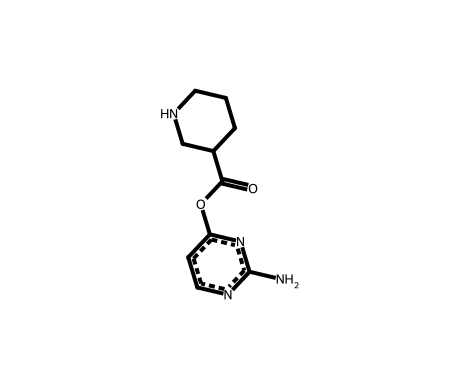 Nc1nccc(OC(=O)C2CCCNC2)n1